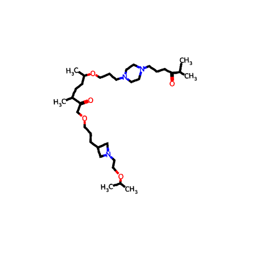 CC(C)OCCN1CC(CCCOCC(=O)C(C)CCC(C)OCCCN2CCN(CCCC(=O)C(C)C)CC2)C1